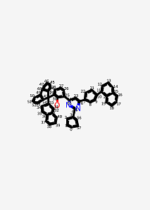 c1ccc(-c2nc(-c3ccc(-c4cccc5ccccc45)cc3)cc(-c3cccc4c3Oc3c(ccc5ccccc35)C43c4ccccc4-c4ccccc43)n2)cc1